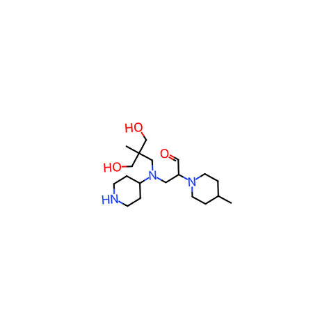 CC1CCN(C(C=O)CN(CC(C)(CO)CO)C2CCNCC2)CC1